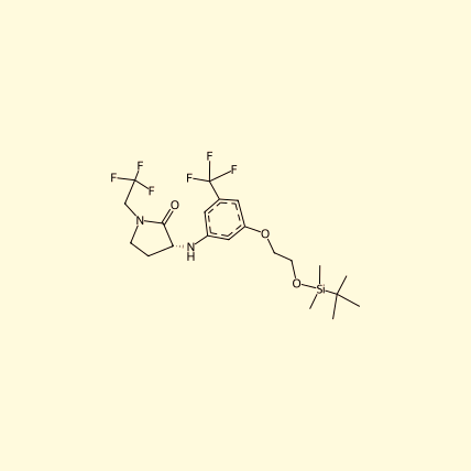 CC(C)(C)[Si](C)(C)OCCOc1cc(N[C@@H]2CCN(CC(F)(F)F)C2=O)cc(C(F)(F)F)c1